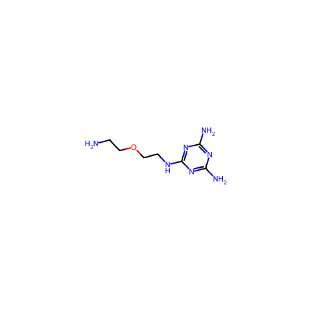 NCCOCCNc1nc(N)nc(N)n1